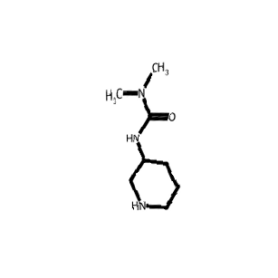 CN(C)C(=O)NC1CCCNC1